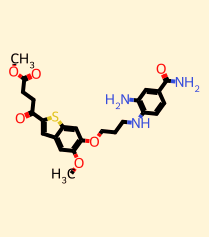 COC(=O)CCC(=O)c1cc2cc(OC)c(OCCCNc3ccc(C(N)=O)cc3N)cc2s1